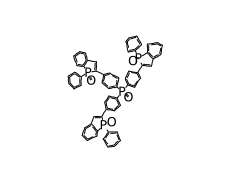 O=P1(c2ccccc2)C(c2ccc(P(=O)(c3ccc(C4=Cc5ccccc5P4(=O)c4ccccc4)cc3)c3ccc(C4=Cc5ccccc5P4(=O)c4ccccc4)cc3)cc2)=Cc2ccccc21